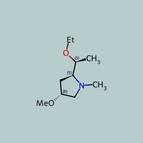 CCO[C@@H](C)[C@@H]1C[C@@H](OC)CN1C